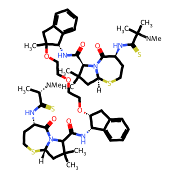 CN[C@@H](C)C(=S)N[C@H]1CCS[C@H]2CC(C)(C)C(C(=O)N[C@H]3c4ccccc4C[C@H]3OCCOCCOC3(C)Cc4ccccc4[C@@H]3NC(=O)[C@H]3N4C(=O)[C@@H](NC(=S)C(C)(C)NC)CCS[C@H]4CC3(C)C)N2C1=O